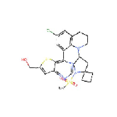 CC(C)(C)S(=O)(=O)N1C[C@@H](N2CCCc3cc(Cl)cc(-c4ncnc5cc(CO)sc45)c32)CC12CCC2